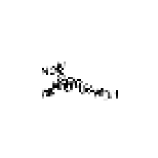 Cc1c(COc2cc(OCc3cncc(C#N)c3)c(CNCc3cnccn3)cc2Cl)cccc1-c1cccc(OCCCN2CC[C@@H](O)C2)c1C